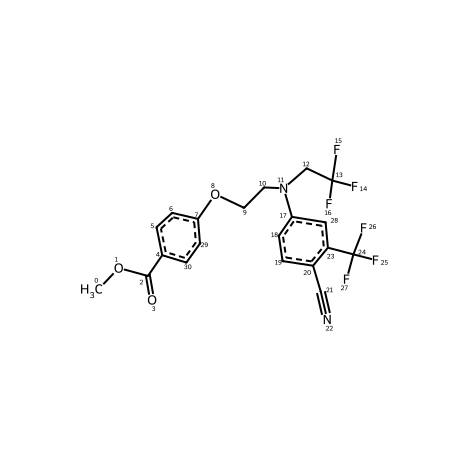 COC(=O)c1ccc(OCCN(CC(F)(F)F)c2ccc(C#N)c(C(F)(F)F)c2)cc1